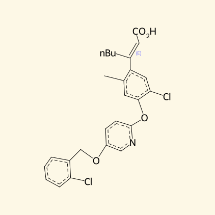 CCCC/C(=C\C(=O)O)c1cc(Cl)c(Oc2ccc(OCc3ccccc3Cl)cn2)cc1C